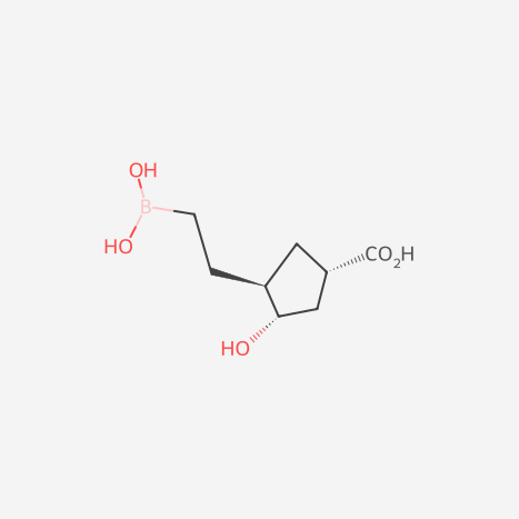 O=C(O)[C@H]1C[C@H](CCB(O)O)[C@@H](O)C1